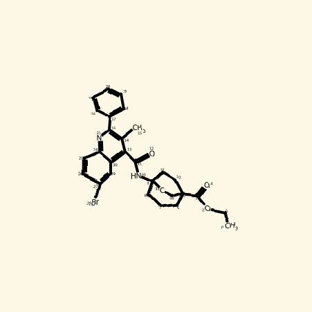 CCOC(=O)C12CCCC(NC(=O)c3c(C)c(-c4ccccc4)nc4ccc(Br)cc34)(CC1)CC2